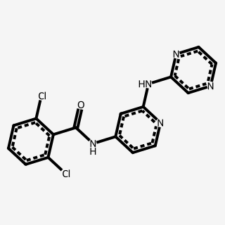 O=C(Nc1ccnc(Nc2cnccn2)c1)c1c(Cl)cccc1Cl